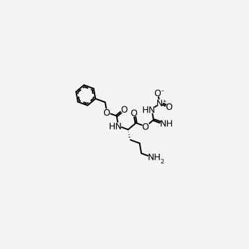 N=C(N[N+](=O)[O-])OC(=O)[C@H](CCCN)NC(=O)OCc1ccccc1